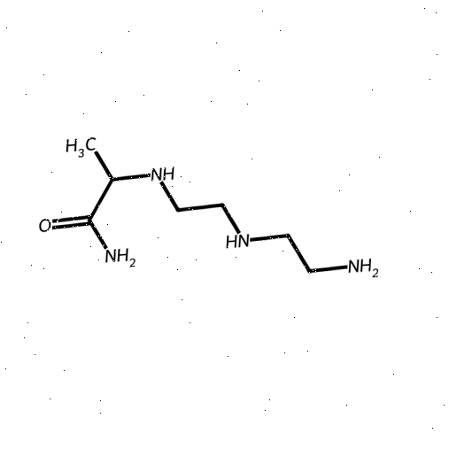 CC(NCCNCCN)C(N)=O